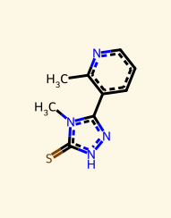 Cc1ncccc1-c1n[nH]c(=S)n1C